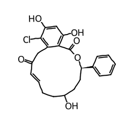 O=C1/C=C/CCC(O)CC[C@H](c2ccccc2)OC(=O)c2c(O)cc(O)c(Cl)c2C1